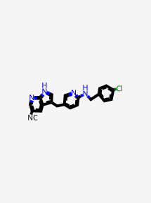 [C-]#[N+]c1cnc2[nH]cc(Cc3ccc(NCc4ccc(Cl)cc4)nc3)c2c1